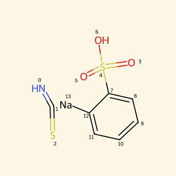 N=C=S.O=S(=O)(O)c1cccc[c]1[Na]